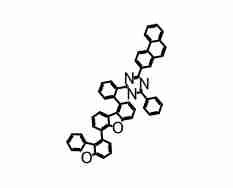 c1ccc(-c2nc(-c3ccc4c(ccc5ccccc54)c3)nc(-c3ccccc3-c3cccc4oc5c(-c6cccc7oc8ccccc8c67)cccc5c34)n2)cc1